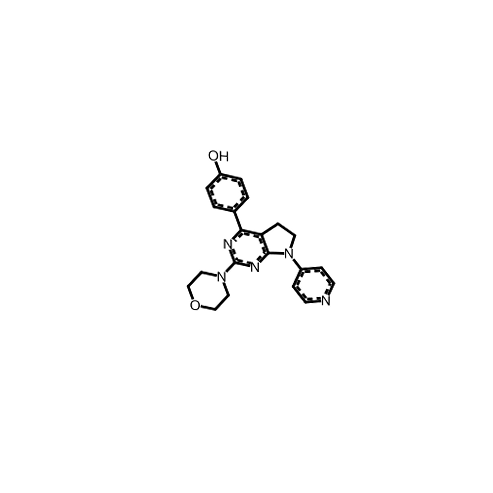 Oc1ccc(-c2nc(N3CCOCC3)nc3c2CCN3c2ccncc2)cc1